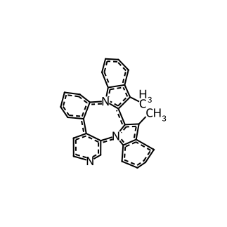 Cc1c2ccccc2n2c3ccccc3c3ccncc3n3c4ccccc4c(C)c3c12